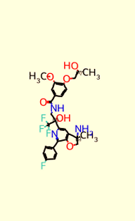 COc1cc(C(=O)NC[C@@](O)(c2cc3c(c(-c4ccc(F)cc4)n2)OC[C@@]3(C)N)C(F)(F)F)ccc1OC[C@@H](C)O